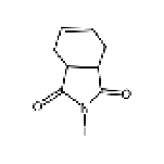 O=C1C2CC=CCC2C(=O)N1I